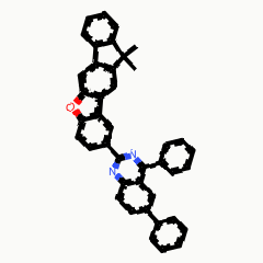 CC1(C)c2ccccc2-c2cc3oc4ccc(-c5nc(-c6ccccc6)c6cc(-c7ccccc7)ccc6n5)cc4c3cc21